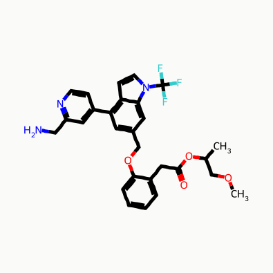 COCC(C)OC(=O)Cc1ccccc1OCc1cc(-c2ccnc(CN)c2)c2ccn(C(F)(F)F)c2c1